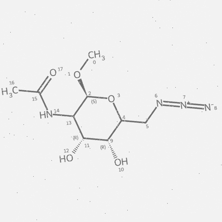 CO[C@H]1OC(CN=[N+]=[N-])[C@H](O)[C@H](O)C1NC(C)=O